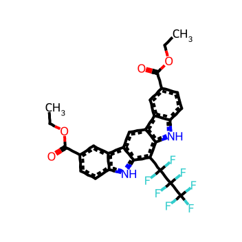 CCOC(=O)c1ccc2[nH]c3c(C(F)(F)C(F)(F)C(F)(F)F)c4[nH]c5ccc(C(=O)OCC)cc5c4cc3c2c1